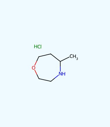 CC1CCOCCN1.Cl